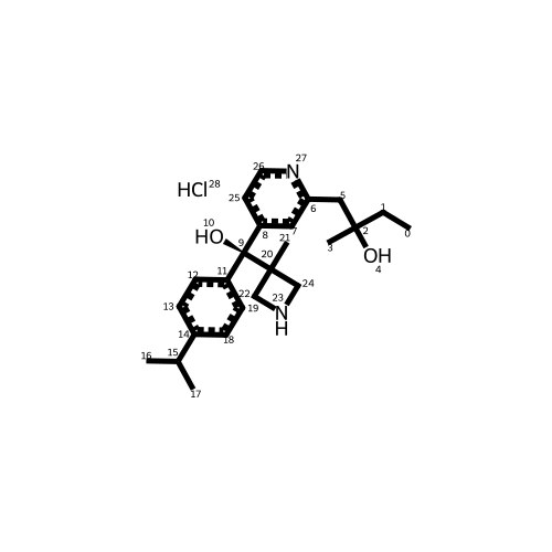 CCC(C)(O)Cc1cc([C@@](O)(c2ccc(C(C)C)cc2)C2(C)CNC2)ccn1.Cl